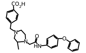 CC1CN(Cc2ccc(C(=O)O)cc2)CCN1CC(=O)Nc1ccc(Oc2ccccc2)cc1